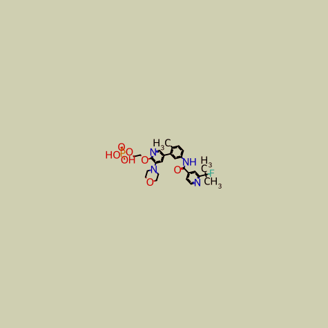 Cc1ccc(NC(=O)c2ccnc(C(C)(C)F)c2)cc1-c1cnc(OCCOP(=O)(O)O)c(N2CCOCC2)c1